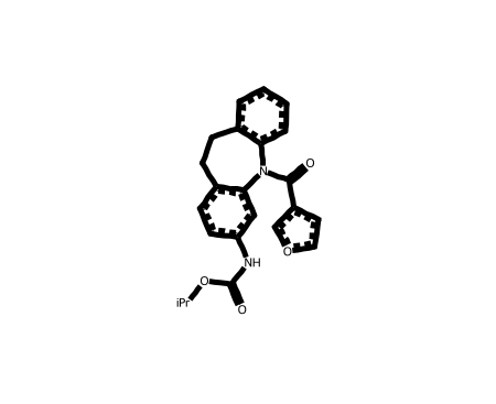 CC(C)OC(=O)Nc1ccc2c(c1)N(C(=O)c1ccoc1)c1ccccc1CC2